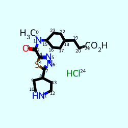 CN(C(=O)c1nnc(C2CCNCC2)s1)C1CCC(CCC(=O)O)CC1.Cl